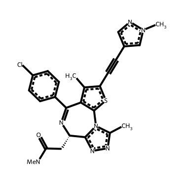 CNC(=O)C[C@@H]1N=C(c2ccc(Cl)cc2)c2c(sc(C#Cc3cnn(C)c3)c2C)-n2c(C)nnc21